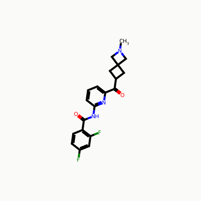 CN1CC2(CC(C(=O)c3cccc(NC(=O)c4ccc(F)cc4F)n3)C2)C1